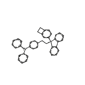 c1ccc(N(c2ccccc2)c2ccc(CCC3(c4ccc5c(c4)CC5)c4ccccc4-c4ccccc43)cc2)cc1